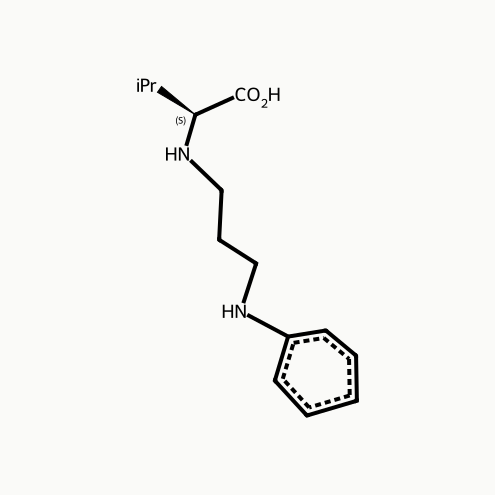 CC(C)[C@H](NCCCNc1ccccc1)C(=O)O